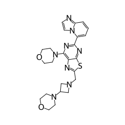 c1cc(-c2nc(N3CCOCC3)c3nc(CN4CC(N5CCOCC5)C4)sc3n2)n2ccnc2c1